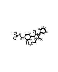 CCN1C(=S)N(c2ccccc2)C(=O)C1=C1C=CN(CCC(=O)O)C=C1